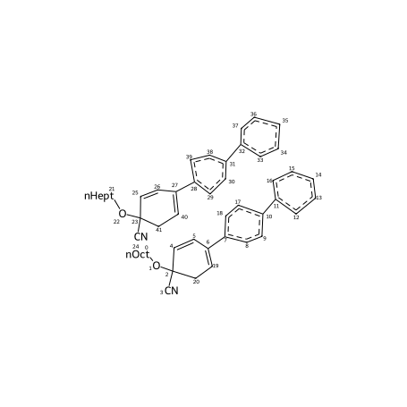 CCCCCCCCOC1(C#N)C=CC(c2ccc(-c3ccccc3)cc2)=CC1.CCCCCCCOC1(C#N)C=CC(c2ccc(-c3ccccc3)cc2)=CC1